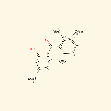 COc1cc(O)c(C(=O)c2cccc(OC)c2OC)c(OC)c1